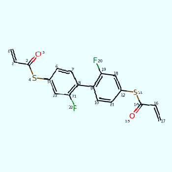 C=CC(=O)Sc1ccc(-c2ccc(SC(=O)C=C)cc2F)c(F)c1